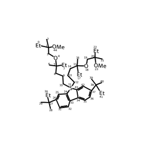 CCC(C)(COC(C)(CC)CCCS1(CCCC(C)(CC)OCC(C)(CC)OC)c2cc(C(C)(C)CC)ccc2-c2ccc(C(C)(C)CC)cc21)OC